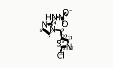 O=[N+]([O-])Nc1nccn1Cc1cnc(Cl)s1